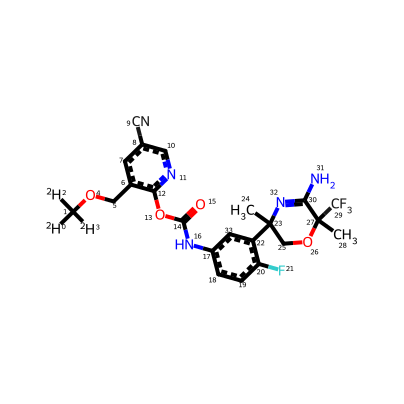 [2H]C([2H])([2H])OCc1cc(C#N)cnc1OC(=O)Nc1ccc(F)c(C2(C)COC(C)(C(F)(F)F)C(N)=N2)c1